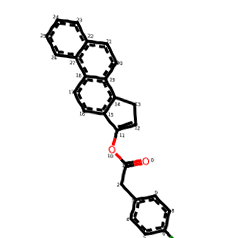 O=C(Cc1ccc(Br)cc1)OC1=CCc2c1ccc1c2ccc2ccccc21